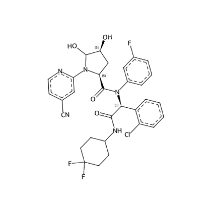 N#Cc1ccnc(N2C(O)[C@@H](O)C[C@H]2C(=O)N(c2cccc(F)c2)[C@H](C(=O)NC2CCC(F)(F)CC2)c2ccccc2Cl)c1